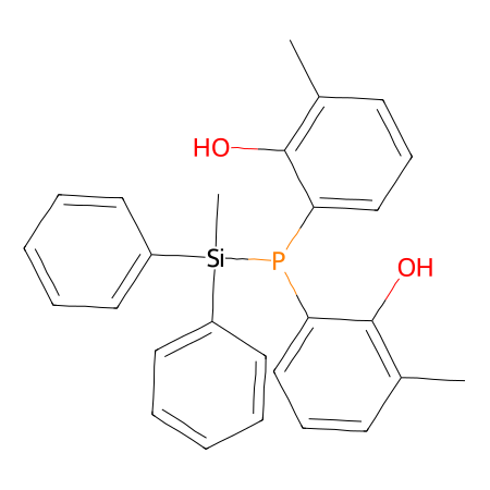 Cc1cccc(P(c2cccc(C)c2O)[Si](C)(c2ccccc2)c2ccccc2)c1O